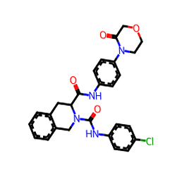 O=C(Nc1ccc(N2CCOCC2=O)cc1)C1Cc2ccccc2CN1C(=O)Nc1ccc(Cl)cc1